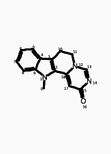 Cn1c2c(c3ccccc31)CCn1cnc(=O)cc1-2